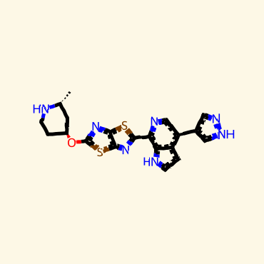 C[C@@H]1C[C@@H](Oc2nc3sc(-c4ncc(-c5cn[nH]c5)c5cc[nH]c45)nc3s2)CCN1